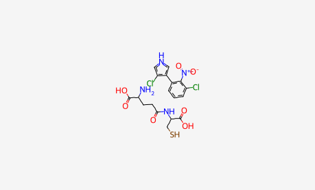 NC(CCC(=O)NC(CS)C(=O)O)C(=O)O.O=[N+]([O-])c1c(Cl)cccc1-c1c[nH]cc1Cl